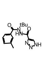 Cc1cccc(C(=O)N(NC(=O)c2c[nH]nn2)C(C)(C)C)c1